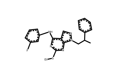 CCSc1nc(Nc2cccc(F)c2)c2cnn(CC(C)c3ccccc3)c2n1